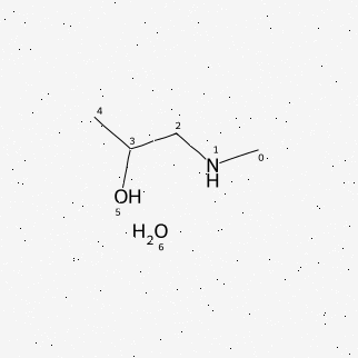 CNCC(C)O.O